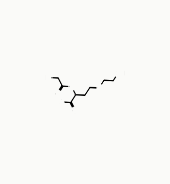 CCCSCCC(OC(=O)CO)C(=O)O